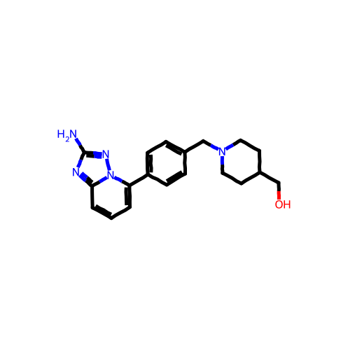 Nc1nc2cccc(-c3ccc(CN4CCC(CO)CC4)cc3)n2n1